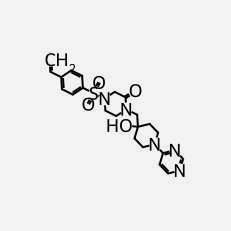 C=Cc1ccc(S(=O)(=O)N2CCN(CC3(O)CCN(c4ccncn4)CC3)C(=O)C2)cc1